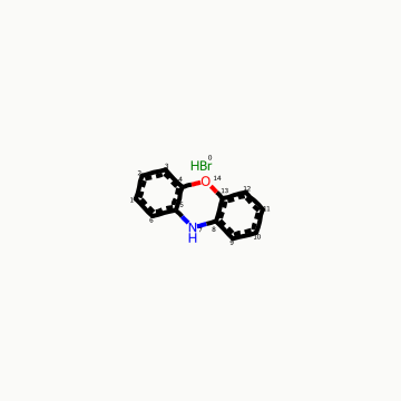 Br.c1ccc2c(c1)Nc1ccccc1O2